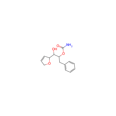 NC(=O)OC(Cc1ccccc1)C(O)C1C=CCO1